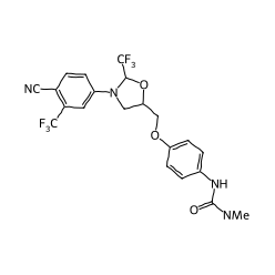 CNC(=O)Nc1ccc(OCC2CN(c3ccc(C#N)c(C(F)(F)F)c3)C(C(F)(F)F)O2)cc1